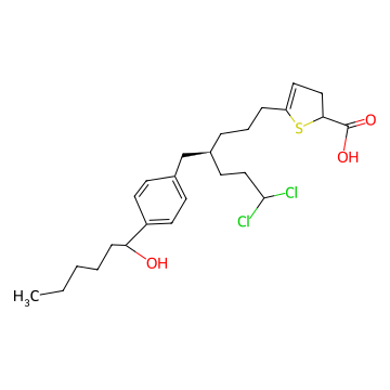 CCCCCC(O)c1ccc(C[C@@H](CCCC2=CCC(C(=O)O)S2)CCC(Cl)Cl)cc1